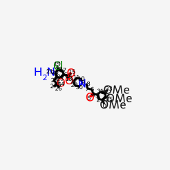 COc1cc(C(=O)CCCN2CCC(OC(=O)c3cc(Cl)c(N)c4c3OC(C)(C)C4)CC2)cc(OC)c1OC